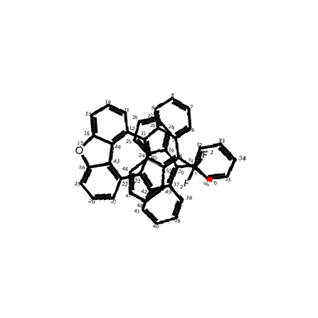 FC(F)(F)c1c2ccccc2c(-c2cccc3oc4cccc(-c5c6ccccc6c(-c6ccccc6)c6ccccc56)c4c23)c2ccccc12